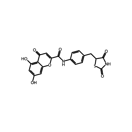 O=C1NC(=O)C(Cc2ccc(NC(=O)c3cc(=O)c4c(O)cc(O)cc4o3)cc2)S1